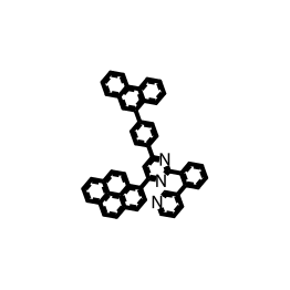 c1cncc(-c2ccccc2-c2nc(-c3ccc(-c4cc5ccccc5c5ccccc45)cc3)cc(-c3ccc4ccc5cccc6ccc3c4c56)n2)c1